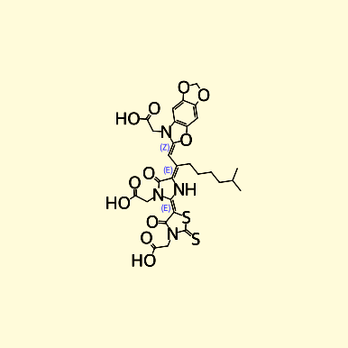 CC(C)CCCCC(/C=C1\Oc2cc3c(cc2N1CC(=O)O)OCO3)=c1\[nH]/c(=C2\SC(=S)N(CC(=O)O)C2=O)n(CC(=O)O)c1=O